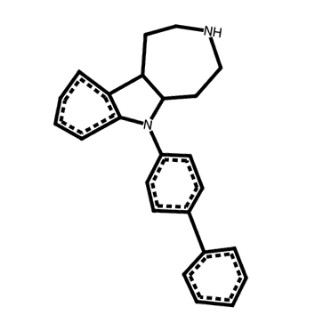 c1ccc(-c2ccc(N3c4ccccc4C4CCNCCC43)cc2)cc1